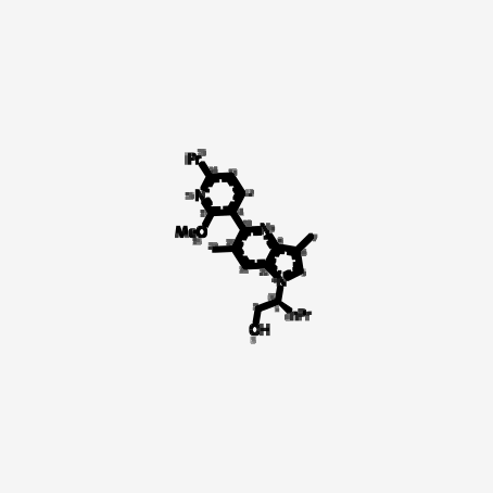 CCC[C@@H](CO)n1cc(C)c2nc(-c3ccc(C(C)C)nc3OC)c(C)cc21